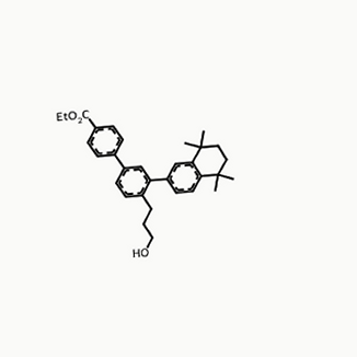 CCOC(=O)c1ccc(-c2ccc(CCCO)c(-c3ccc4c(c3)C(C)(C)CCC4(C)C)c2)cc1